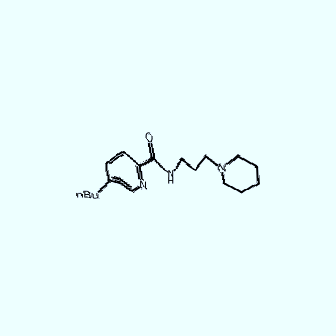 CCCCc1ccc(C(=O)NCCCN2CCCCC2)nc1